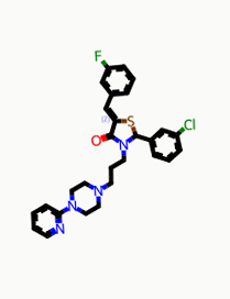 O=C1/C(=C/c2cccc(F)c2)SC(c2cccc(Cl)c2)N1CCCN1CCN(c2ccccn2)CC1